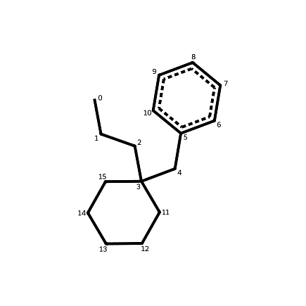 CCCC1(Cc2ccccc2)CCCCC1